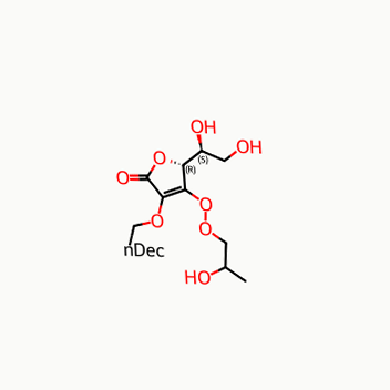 CCCCCCCCCCCOC1=C(OOCC(C)O)[C@@H]([C@@H](O)CO)OC1=O